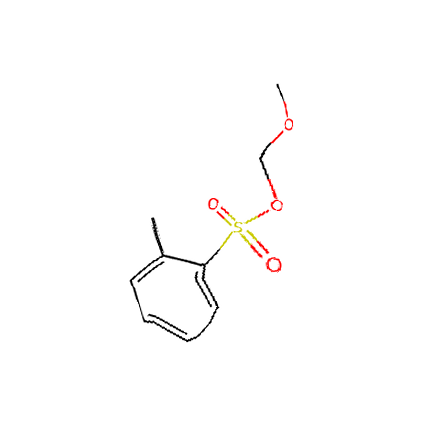 COCOS(=O)(=O)c1ccccc1C